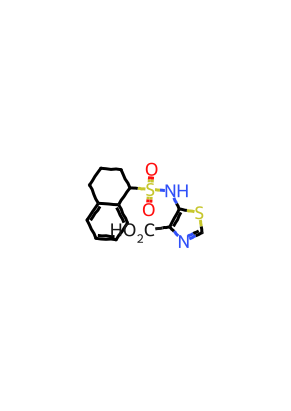 O=C(O)c1ncsc1NS(=O)(=O)C1CCCc2ccccc21